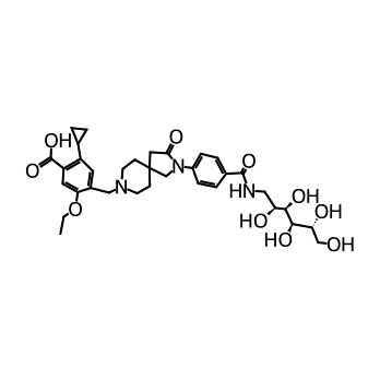 CCOc1cc(C(=O)O)c(C2CC2)cc1CN1CCC2(CC1)CC(=O)N(c1ccc(C(=O)NC[C@H](O)[C@@H](O)[C@H](O)[C@H](O)CO)cc1)C2